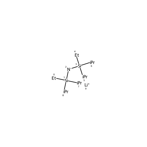 CC[Si]([N-][Si](CC)(C(C)C)C(C)C)(C(C)C)C(C)C.[Li+]